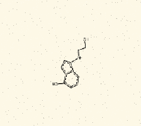 OCCNn1ccc2c(O)cccc21